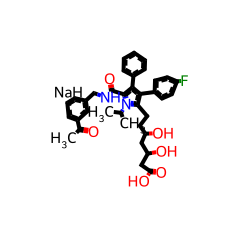 CC(=O)c1cccc(CNC(=O)c2c(-c3ccccc3)c(-c3ccc(F)cc3)c(CCC(O)CC(O)CC(=O)O)n2C(C)C)c1.[NaH]